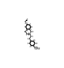 C#Sc1ccc2c(c1)CCN(CCc1ccc(C(C)(C)C)cc1)C2